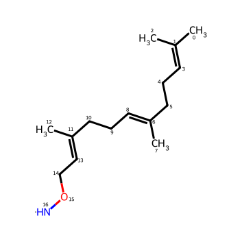 CC(C)=CCCC(C)=CCCC(C)=CCO[NH]